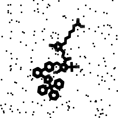 CCCc1nc(C(C)(C)O)c(C(=O)OCc2oc(=O)oc2CCCCCO[N+](=O)O)n1Cc1ccc(-c2ccccc2-c2nnn(C(c3ccccc3)(c3ccccc3)c3ccccc3)n2)cc1